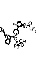 O=C(O)C(F)(F)F.O=C(c1cn(CCN2CCCCC2)c2ccccc12)N1CCC(c2cc(CNC(=O)C(F)(F)F)ccc2F)CC1